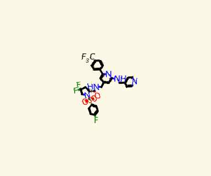 O=C(NCc1cc(NCc2ccncc2)nc(-c2ccc(C(F)(F)F)cc2)c1)[C@@H]1CC(F)(F)CN1S(=O)(=O)c1ccc(F)cc1